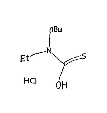 CCCCN(CC)C(O)=S.Cl